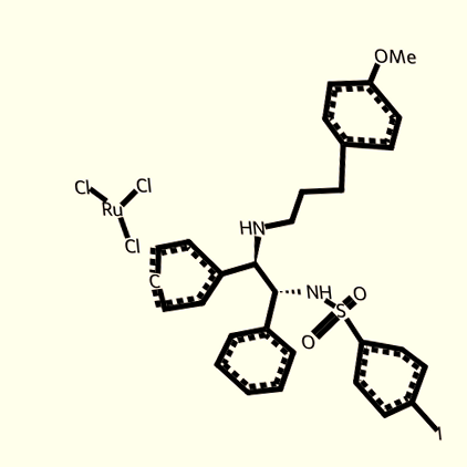 COc1ccc(CCCN[C@H](c2ccccc2)[C@H](NS(=O)(=O)c2ccc(I)cc2)c2ccccc2)cc1.[Cl][Ru]([Cl])[Cl]